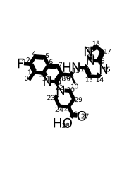 Cc1c(F)ccc2cc([C@H](C)Nc3ccnc4ccnn34)c(N3CCC(C(=O)O)CC3)nc12